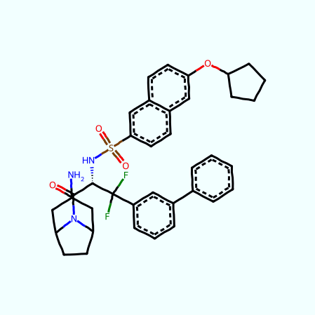 NC1CC2CCC(C1)N2C(=O)[C@H](NS(=O)(=O)c1ccc2cc(OC3CCCC3)ccc2c1)C(F)(F)c1cccc(-c2ccccc2)c1